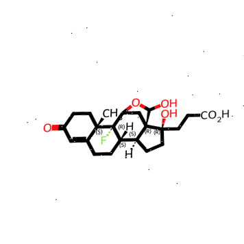 C[C@]12CCC(=O)C=C1CC[C@H]1[C@@H]3CC[C@@](O)(CCC(=O)O)[C@@]34CC(OC4O)[C@@]12F